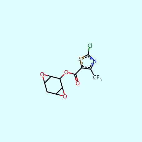 O=C(OC1C2OC2CC2OC21)c1sc(Cl)nc1C(F)(F)F